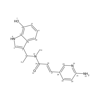 CC(c1c[nH]c2c(O)cccc12)N(C)C(=O)C=Cc1ccc(N)nc1